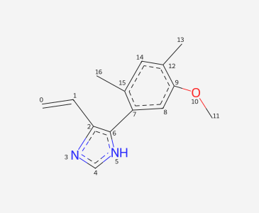 C=Cc1nc[nH]c1-c1cc(OC)c(C)cc1C